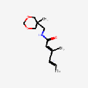 CCCC/C=C/C(C)=C/C(=O)NCC1(C)COCOC1